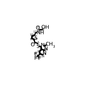 Cc1nc(SCC(=O)c2ccc(CNC(=O)CO)s2)c2cc(C(F)(F)F)cnc2n1